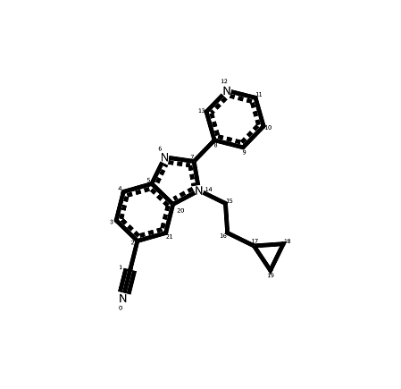 N#Cc1ccc2nc(-c3cccnc3)n(CCC3CC3)c2c1